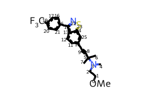 COCCN(C)C(C)(C)C#Cc1ccc2c(-c3ccc(C(F)(F)F)cc3)nsc2c1